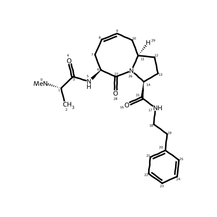 CN[C@@H](C)C(=O)N[C@H]1C/C=C\C[C@H]2CC[C@@H](C(=O)NCCc3ccccc3)N2C1=O